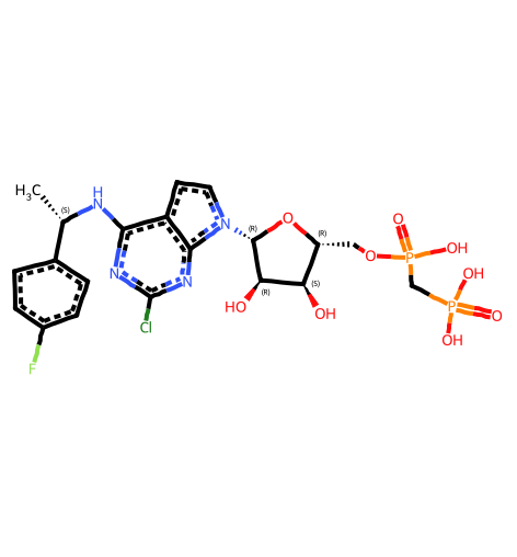 C[C@H](Nc1nc(Cl)nc2c1ccn2[C@@H]1O[C@H](COP(=O)(O)CP(=O)(O)O)[C@@H](O)[C@H]1O)c1ccc(F)cc1